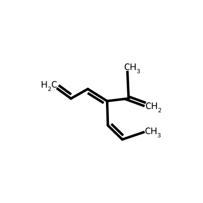 C=C/C=C(\C=C/C)C(=C)C